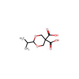 CC(C)C1OCC(C(=O)O)(C(=O)O)CO1